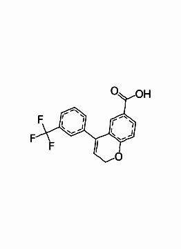 O=C(O)c1ccc2c(c1)C(c1cccc(C(F)(F)F)c1)=CCO2